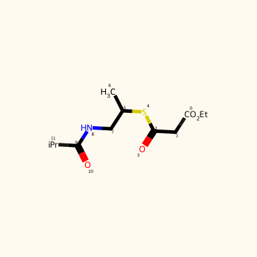 CCOC(=O)CC(=O)SC(C)CNC(=O)C(C)C